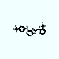 FC(F)(F)c1ccc(Nc2ncnc3sc(Cc4ccccc4C(F)(F)F)nc23)cc1